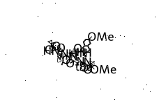 C=C[C@@H]1C[C@]1(NC(=O)[C@@H]1C[C@@H](Oc2nccc3cc(OC)ccc23)CN1C(=O)C(NC(=O)N[C@@H](C)C(=O)OC)C(C)(C)C)C(=O)NS(=O)(=O)C1CC1